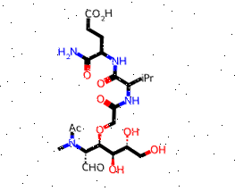 CC(=O)N(C)[C@@H](C=O)[C@@H](OCC(=O)NC(C(=O)NC(CCC(=O)O)C(N)=O)C(C)C)[C@H](O)[C@H](O)CO